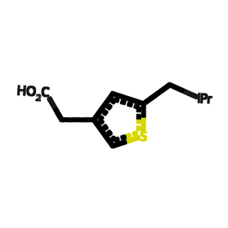 CC(C)Cc1cc(CC(=O)O)cs1